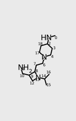 CNC1CCN(CCC2C(CN)CN2C(C)C)CC1